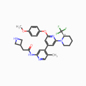 COc1ccc(Oc2cc(-c3cc(NC(=O)CC4CNC4)ncc3C)cc(N3CCCC[C@@H]3C(F)(F)F)n2)cc1